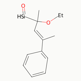 CCOC(C)(C=C(C)c1ccccc1)[SiH]=O